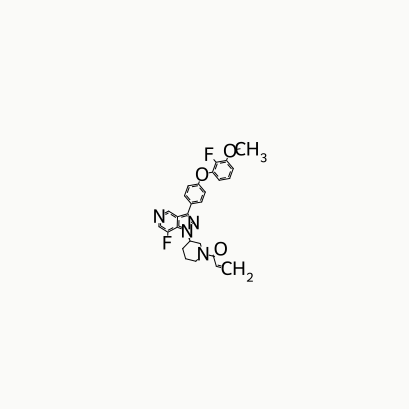 C=CC(=O)N1CCC[C@@H](n2nc(-c3ccc(Oc4cccc(OC)c4F)cc3)c3cncc(F)c32)C1